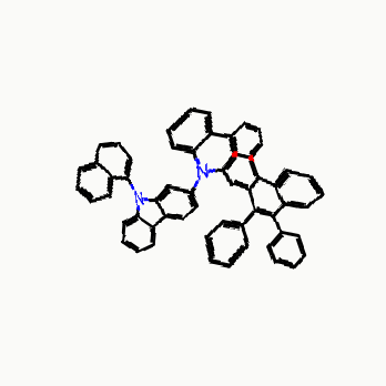 c1ccc(-c2ccccc2N(c2ccc3c(c2)c(-c2ccccc2)c(-c2ccccc2)c2ccccc23)c2ccc3c4ccccc4n(-c4cccc5ccccc45)c3c2)cc1